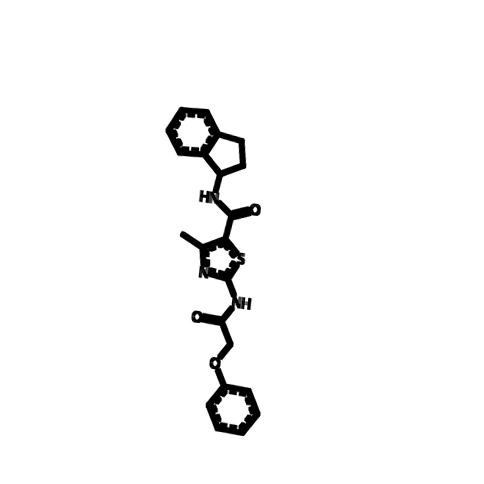 Cc1nc(NC(=O)COc2ccccc2)sc1C(=O)NC1CCc2ccccc21